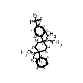 CN(C)C1(c2ccccc2)CCC(c2ccc(C(F)(F)F)cc2)(N(C)C)CC1